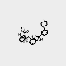 NC(=O)[C@@H]1[C@H](Nc2ccnc3[nH]c(-c4cccc(N5CCOCC5)c4)nc23)[C@H]2C=C[C@@H]1C2